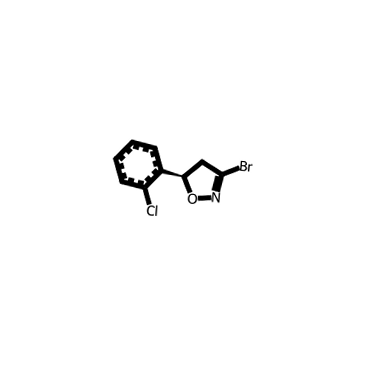 Clc1ccccc1[C@H]1CC(Br)=NO1